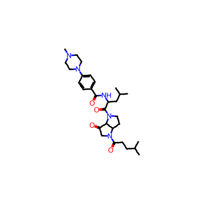 CC(C)CCC(=O)N1CC(=O)C2C1CCN2C(=O)C(CC(C)C)NC(=O)c1ccc(N2CCN(C)CC2)cc1